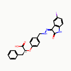 O=C1Nc2ccc(I)cc2C1=NNCc1ccc(O[C@@H](Cc2ccccc2)C(=O)O)cc1